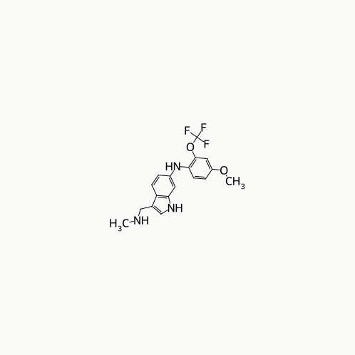 CNCc1c[nH]c2cc(Nc3ccc(OC)cc3OC(F)(F)F)ccc12